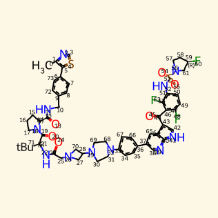 Cc1ncsc1-c1ccc(CNC(=O)[C@@H]2CCCN2C(=O)[C@@H](NC(=O)CN2CC(N3CCN(c4ccc(-c5cnc6[nH]cc(C(=O)c7c(F)ccc(NS(=O)(=O)N8CC[C@@H](F)C8)c7F)c6c5)cc4)CC3)C2)C(C)(C)C)cc1